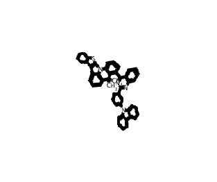 CC1(C)c2c(-c3nc(-c4cccc(-n5c6ccccc6c6ccccc65)c4)nc4ccccc34)cccc2-n2c3sc4ccccc4c3c3cccc1c32